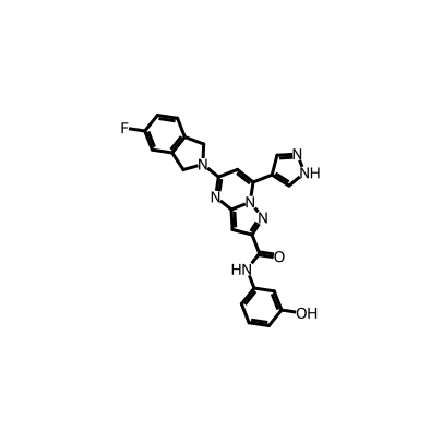 O=C(Nc1cccc(O)c1)c1cc2nc(N3Cc4ccc(F)cc4C3)cc(-c3cn[nH]c3)n2n1